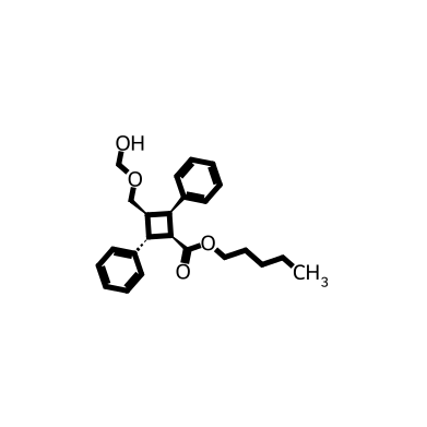 CCCCCOC(=O)[C@H]1[C@H](c2ccccc2)[C@@H](COCO)[C@H]1c1ccccc1